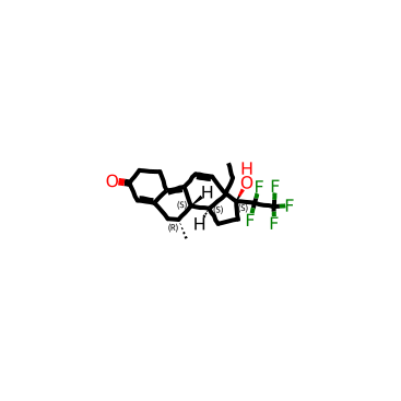 CCC12C=CC3=C4CCC(=O)C=C4C[C@@H](C)[C@H]3[C@@H]1CC[C@@]2(O)C(F)(F)C(F)(F)F